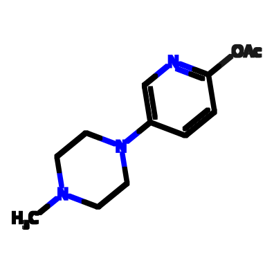 CC(=O)Oc1ccc(N2CCN(C)CC2)cn1